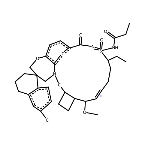 CCC(=O)NS1(=O)=NC(=O)c2ccc3c(c2)N(CC2CCC2C(OC)/C=C/CCC1CC)CC1(CCCc2cc(Cl)ccc21)CO3